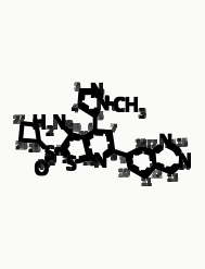 Cn1nccc1-c1cc(-c2ccc3cncnc3c2)nc2sc([S@+]([O-])C3CCC3)c(N)c12